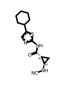 N#CN[C@@H]1C[C@H]1C(=O)Nc1ncc(C2CCCCC2)s1